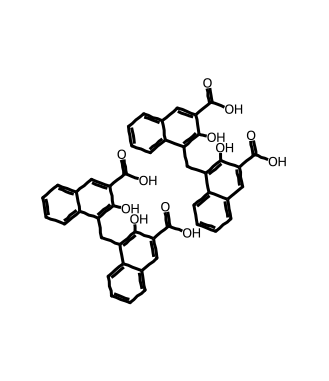 O=C(O)c1cc2ccccc2c(Cc2c(O)c(C(=O)O)cc3ccccc23)c1O.O=C(O)c1cc2ccccc2c(Cc2c(O)c(C(=O)O)cc3ccccc23)c1O